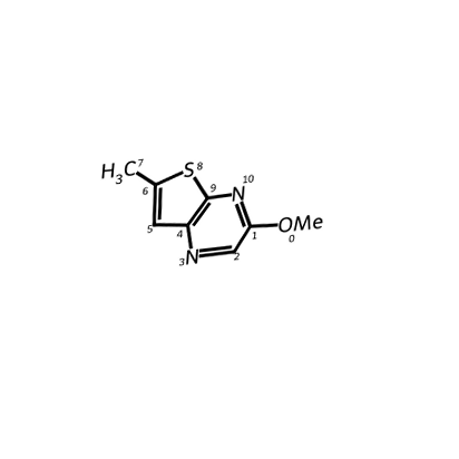 COc1cnc2cc(C)sc2n1